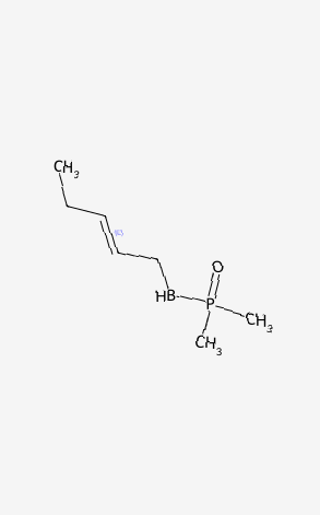 CC/C=C/CBP(C)(C)=O